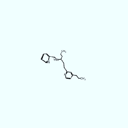 CCCc1ccnc(CCC(CCC)NCc2ccccn2)c1